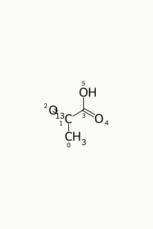 C[13C](=O)C(=O)O